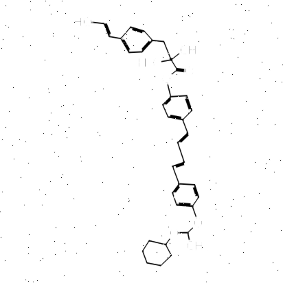 CC(Oc1ccc(C=CC=Cc2ccc(OC(=O)C(C)(C)Cc3ccc(C=CO)cc3)cc2)cc1)OC1CCCCC1